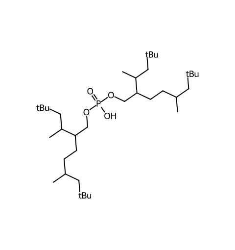 CC(CCC(COP(=O)(O)OCC(CCC(C)CC(C)(C)C)C(C)CC(C)(C)C)C(C)CC(C)(C)C)CC(C)(C)C